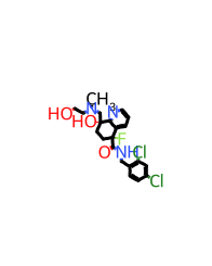 CN(CCO)C[C@]1(O)CC[C@@](F)(C(=O)NCc2ccc(Cl)cc2Cl)c2cccnc21